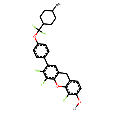 CCCC1CCC(C(F)(F)Oc2ccc(-c3cc4c(c(F)c3F)Oc3c(ccc(OCC)c3F)C4)cc2)CC1